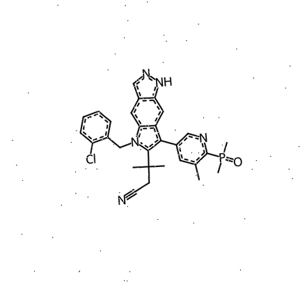 Cc1cc(-c2c(C(C)(C)CC#N)n(Cc3ccccc3Cl)c3cc4cn[nH]c4cc23)cnc1P(C)(C)=O